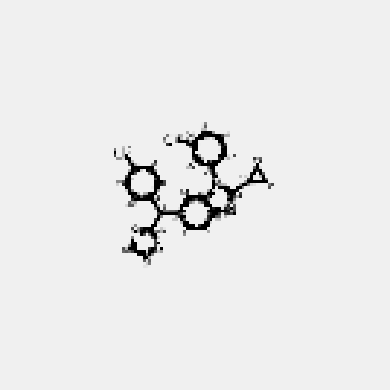 Clc1ccc(C(c2ccc3nc(C4CC4)n(-c4cccc(Cl)c4)c3c2)c2nccs2)cc1